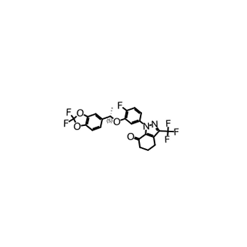 C[C@H](Oc1cc(-n2nc(C(F)(F)F)c3c2C(=O)CCC3)ccc1F)c1ccc2c(c1)OC(F)(F)O2